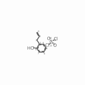 C=CCc1ccccc1O.O=S(=O)(Cl)Cl